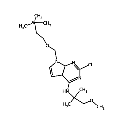 COCC(C)(C)NC1=NC(Cl)=NC2C1C=CN2COCC[Si](C)(C)C